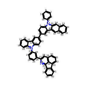 c1ccc(-n2c3ccc(-c4ccc5c(c4)c4ccccc4n5-c4cccc(-c5cc6cccc7c6c(n5)-c5ccccc5-7)c4)cc3c3cc4ccccc4cc32)cc1